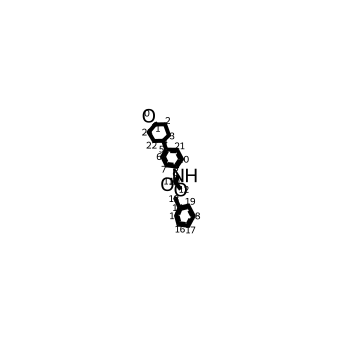 O=C1CCC(c2ccc(NC(=O)OCc3ccccc3)cc2)CC1